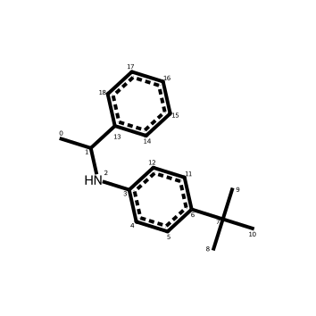 CC(Nc1ccc(C(C)(C)C)cc1)c1ccccc1